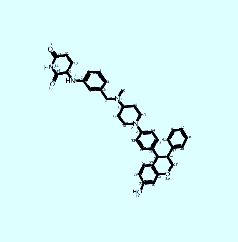 CN(Cc1cccc(NC2CCC(=O)NC2=O)c1)C1CCN(c2ccc(C3c4ccc(O)cc4OCC3c3ccccc3)cc2)CC1